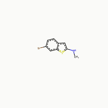 CNc1cc2ccc(Br)cc2s1